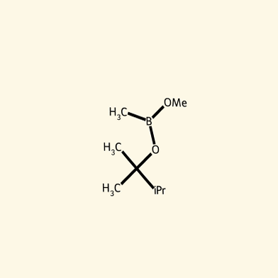 COB(C)OC(C)(C)C(C)C